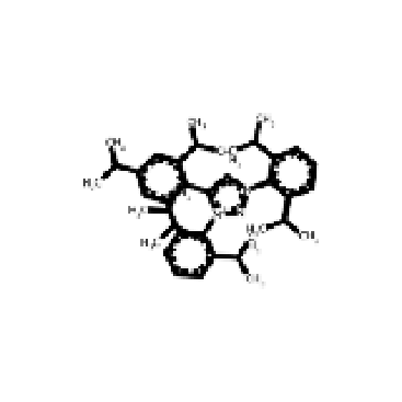 CC(C)c1cc(C(C)C)c(-c2cn(-c3c(C(C)C)cccc3C(C)C)n[n+]2-c2c(C(C)C)cccc2C(C)C)c(C(C)C)c1